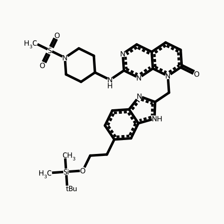 CC(C)(C)[Si](C)(C)OCCc1ccc2nc(Cn3c(=O)ccc4cnc(NC5CCN(S(C)(=O)=O)CC5)nc43)[nH]c2c1